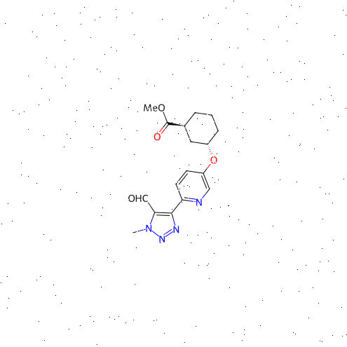 COC(=O)[C@H]1CCC[C@H](Oc2ccc(-c3nnn(C)c3C=O)nc2)C1